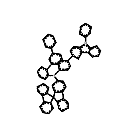 c1ccc(-c2cccc(-c3ccccc3N(c3ccc(-c4ccc5c(c4)c4ccccc4n5-c4ccccc4)cc3)c3ccc4c(c3)C3(c5ccccc5-c5ccccc53)c3ccccc3-4)c2)cc1